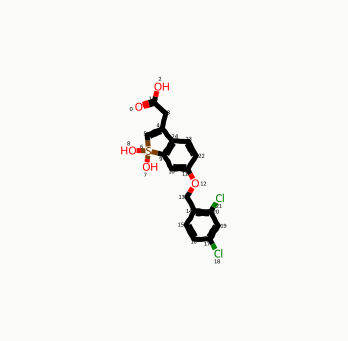 O=C(O)CC1=CS(O)(O)c2cc(OCc3ccc(Cl)cc3Cl)ccc21